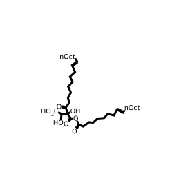 CCCCCCCCC=CCCCCCCCC(=O)OC(=O)C(O)(C(=O)CCCCCCCC=CCCCCCCCC)C(O)C(=O)O